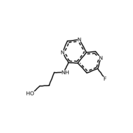 OCCCNc1ncnc2cnc(F)cc12